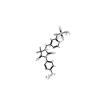 CC1(C)C(=O)N(c2ccc(SC(F)(F)F)cc2)C(=O)N1Cc1ccnc(NS(N)(=O)=O)c1